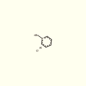 CCCC[n+]1ccccc1.[Al].[Cl-]